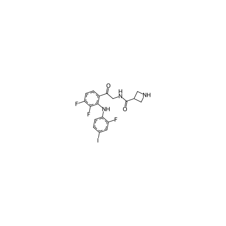 O=C(CNC(=O)C1CNC1)c1ccc(F)c(F)c1Nc1ccc(I)cc1F